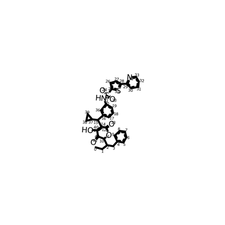 CCC(Cc1ccccc1)C1OC(=O)C(C(c2cccc(NS(=O)(=O)c3ccc(-c4ccccn4)s3)c2)C2CC2)=C(O)C1=O